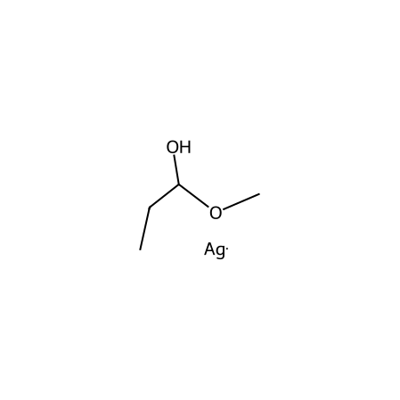 CCC(O)OC.[Ag]